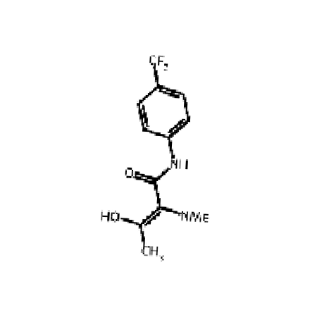 CN/C(C(=O)Nc1ccc(C(F)(F)F)cc1)=C(\C)O